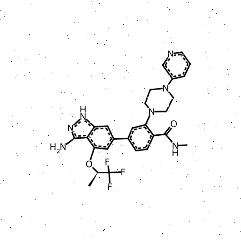 CNC(=O)c1ccc(-c2cc(O[C@H](C)C(F)(F)F)c3c(N)n[nH]c3c2)cc1N1CCN(c2cccnc2)CC1